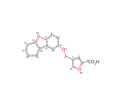 O=C(O)c1cc(COc2ccc3oc4ccccc4c3c2)co1